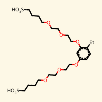 CCc1ccc(OCCOCCOCCCCS(=O)(=O)O)cc1OCCOCCOCCCCS(=O)(=O)O